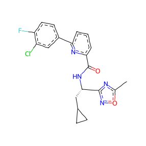 Cc1nc([C@H](CC2CC2)NC(=O)c2cccc(-c3ccc(F)c(Cl)c3)n2)no1